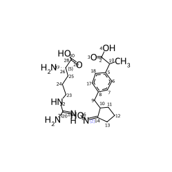 CC(C(=O)O)c1ccc(CC2CCC/C2=N/O)cc1.N=C(N)NCCC[C@H](N)C(=O)O